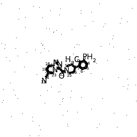 Cc1c(P)cccc1C1CCN(C(=O)c2nnc3ccc(C#N)cn23)CC1